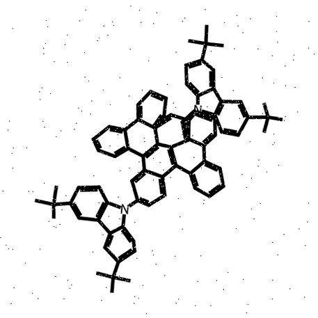 CC(C)(C)c1ccc2c(c1)c1cc(C(C)(C)C)ccc1n2-c1ccc2c(-c3ccccc3-c3ccccc3)c3cc(-n4c5ccc(C(C)(C)C)cc5c5cc(C(C)(C)C)ccc54)ccc3c(-c3ccccc3-c3ccccc3)c2c1